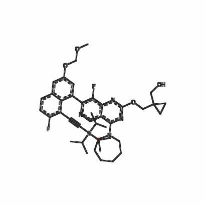 COCOc1cc(-c2ncc3c(N4CCCCCC4)nc(OCC4(CO)CC4)nc3c2F)c2c(C#C[Si](C(C)C)(C(C)C)C(C)C)c(F)ccc2c1